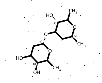 CC1O[C@@H](C)CC(O[C@H]2CC(O)[C@H](O)C(C)O2)[C@@H]1O